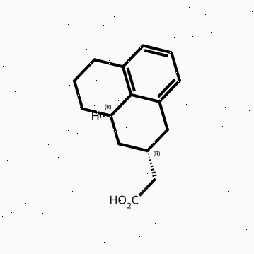 O=C(O)C[C@H]1Cc2cccc3c2[C@H](CCC3)C1